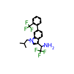 CC(C)Cn1cc(C(N)C(F)(F)F)c2ccc(-c3ccccc3C(F)(F)F)cc21